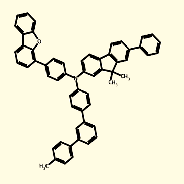 Cc1ccc(-c2cccc(-c3ccc(N(c4ccc(-c5cccc6c5oc5ccccc56)cc4)c4ccc5c(c4)C(C)(C)c4cc(-c6ccccc6)ccc4-5)cc3)c2)cc1